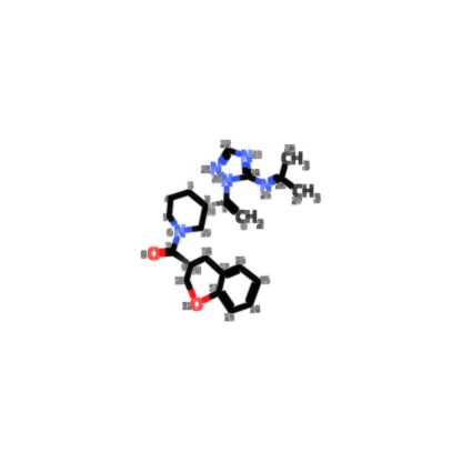 C=C([C@H]1CCCN(C(=O)[C@@H]2COc3ccccc3C2)C1)n1ncnc1N=C(C)C